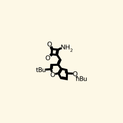 CCCCOc1ccc2c(c1)C(=Cc1c(N)c(=O)c1=O)C=C(C(C)(C)C)O2